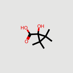 CC1(C)C(C)(C)C1(O)C(=O)O